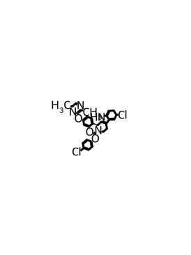 Cc1cnc(C)c(Oc2ccc([C@H]3c4[nH]c5c(c4CCN3C(=O)Oc3ccc(Cl)cc3)=CC(Cl)CC=5)cc2)n1